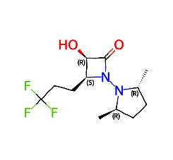 C[C@@H]1CC[C@@H](C)N1N1C(=O)[C@H](O)[C@@H]1CCC(F)(F)F